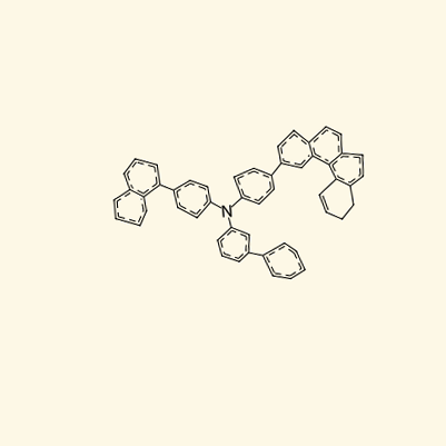 C1=Cc2c(ccc3ccc4ccc(-c5ccc(N(c6ccc(-c7cccc8ccccc78)cc6)c6cccc(-c7ccccc7)c6)cc5)cc4c23)CC1